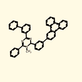 CN1C(c2ccccc2)=NC(c2cccc(-c3ccccc3)c2)=NC1c1cccc(-c2ccc3c4ccccc4c4ccccc4c3c2)c1